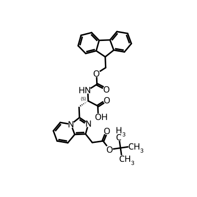 CC(C)(C)OC(=O)Cc1nc(C[C@H](NC(=O)OCC2c3ccccc3-c3ccccc32)C(=O)O)n2ccccc12